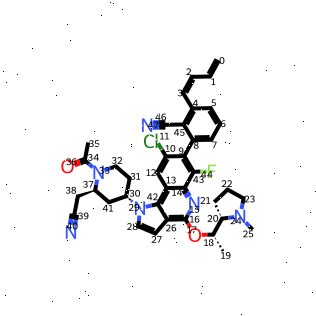 C=C/C=C\c1cccc(-c2c(Cl)cc3c(nc(O[C@@H](C)[C@@H]4CCCN4C)c4ccn([C@H]5CCN(C(C)=O)[C@H](CC#N)C5)c43)c2F)c1C#N